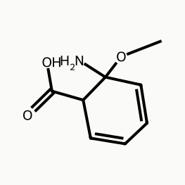 COC1(N)C=CC=CC1C(=O)O